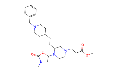 COC(=O)CCN1CCN(C2CN(C)C(=O)O2)C(CCC2CCN(Cc3ccccc3)CC2)C1